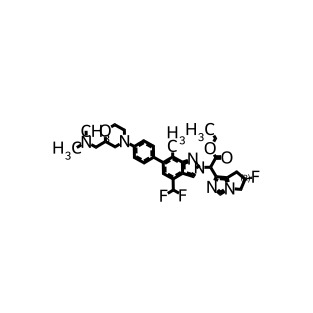 CCOC(=O)C(c1ncn2c1C[C@@H](F)C2)n1cc2c(C(F)F)cc(-c3ccc(N4CCOC(CN(C)C)C4)cc3)c(C)c2n1